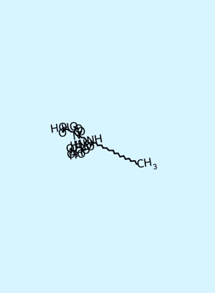 CCCCCCCCCCCCCCCCCC(=O)NC(CCC(=O)NC(CCC(=O)O)C(=O)O)C(=O)NC(CCC(=O)O)C(=O)O